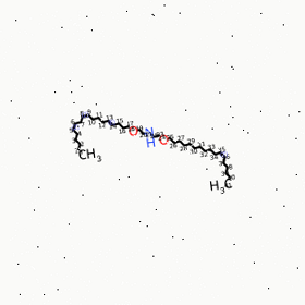 CCCCC/C=C\C/C=C\CCC/C=C/CCCOCCNCCOCCCCCCCCCC/C=C\CCCCC